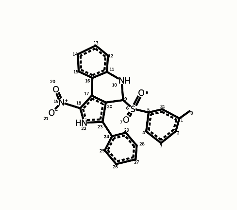 Cc1cccc(S(=O)(=O)C2Nc3ccccc3-c3c([N+](=O)[O-])[nH]c(-c4ccccc4)c32)c1